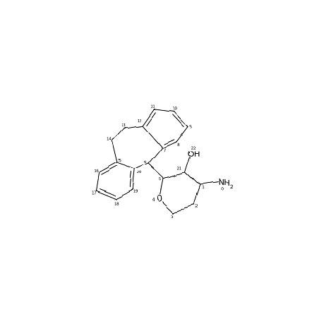 NC1CCOC(C2c3ccccc3CCc3ccccc32)C1O